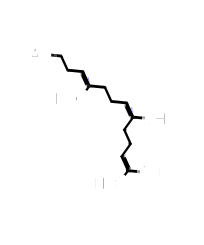 CC(=O)CC/C=C(\C)CC/C=C(/C)CCC=C(C)C